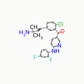 CC(C)(N)C#Cc1ccc(Cl)c(C(=O)c2ccc(Nc3ccc(F)cc3F)nc2)c1